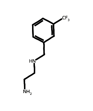 NCCNCc1cccc(C(F)(F)F)c1